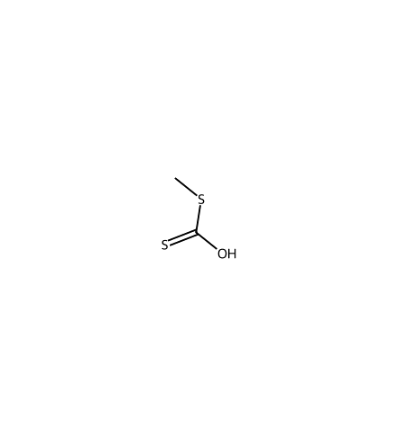 CSC(O)=S